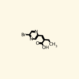 CCC(=Cc1cnc(Br)cn1)C(=O)O